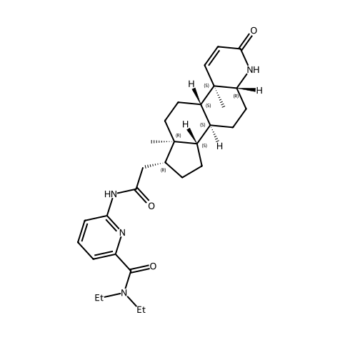 CCN(CC)C(=O)c1cccc(NC(=O)C[C@H]2CC[C@H]3[C@@H]4CC[C@H]5NC(=O)C=C[C@]5(C)[C@H]4CC[C@]23C)n1